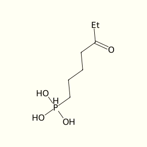 CCC(=O)CCCC[PH](O)(O)O